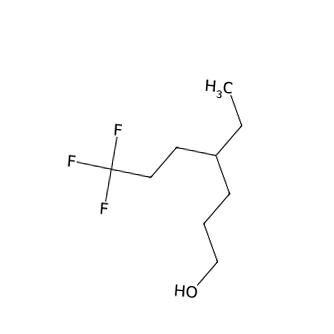 CCC(CCCO)CCC(F)(F)F